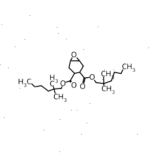 CCCCC(C)(C)COC(=O)C1CC2OC2CC1C(=O)OCC(C)(C)CCCC